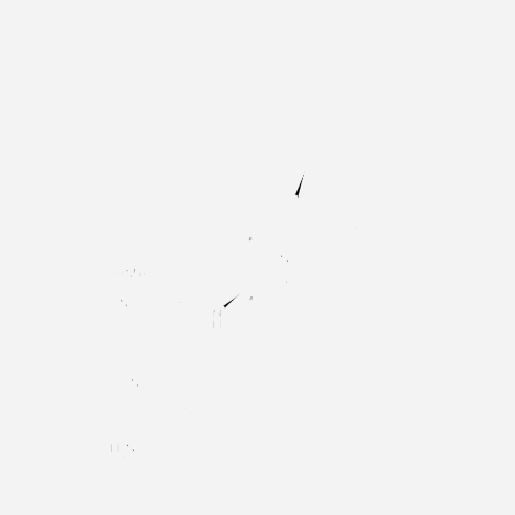 CO/N=C(\C(=O)N[C@@H]1C(=O)N2C(C(=O)O)=C([C@@H]3Cc4ccccc4O3)CS[C@H]12)c1csc(N)n1